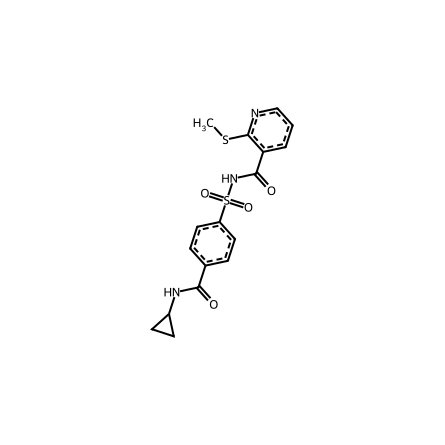 CSc1ncccc1C(=O)NS(=O)(=O)c1ccc(C(=O)NC2CC2)cc1